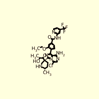 CCOc1cc(C(=O)Nc2cc(C(F)(F)F)ccn2)ccc1-c1nc([C@@]2(C(=O)[C@@H](C)O)CC[C@H](C)NC2)n2c(Cl)cnc(N)c12